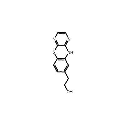 OCCc1ccc2c(c1)Nc1nccnc1S2